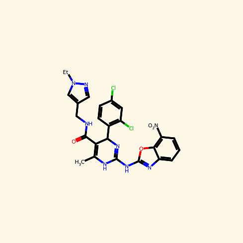 CCn1cc(CNC(=O)C2=C(C)NC(Nc3nc4cccc([N+](=O)[O-])c4o3)=NC2c2ccc(Cl)cc2Cl)cn1